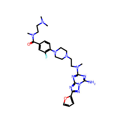 CN(C)CCN(C)C(=O)c1ccc(N2CCN(CCN(C)c3nc(N)n4nc(-c5ccco5)nc4n3)CC2)c(F)c1